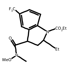 CCOC(=O)N1c2ccc(C(F)(F)F)cc2C(C(=O)N(C)OC)CC1CC